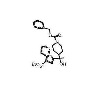 CCOC(=O)c1cc(C(C)(O)C2CCN(C(=O)OCc3ccccc3)CC2)n2ncccc12